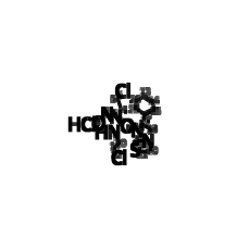 Cl.O=NN(CCCl)C(=O)NCCCl.c1ccc([C@H]2CN3CCSC3=N2)cc1